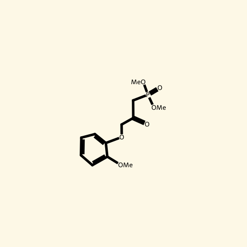 COc1ccccc1OCC(=O)CP(=O)(OC)OC